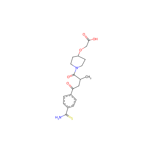 CC(CC(=O)c1ccc(C(N)=S)cc1)C(=O)N1CCC(OCC(=O)O)CC1